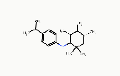 [CH2][C@@H]1C(C)[C@H](C)CC(C)(C)C1Nc1ccc(C(C)C)cc1